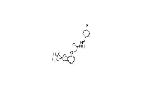 CC1(C)Cc2cccc(OCC(=O)NN=Cc3ccc(F)cc3)c2O1